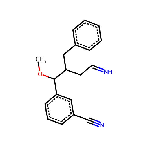 COC(c1cccc(C#N)c1)C(CC=N)Cc1ccccc1